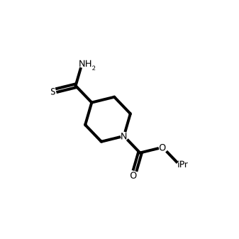 CC(C)OC(=O)N1CCC(C(N)=S)CC1